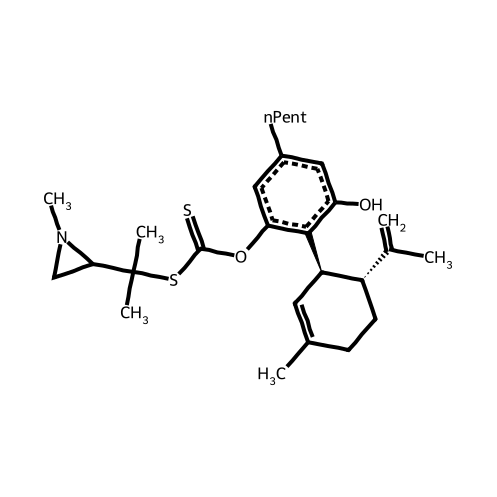 C=C(C)[C@@H]1CCC(C)=C[C@H]1c1c(O)cc(CCCCC)cc1OC(=S)SC(C)(C)C1CN1C